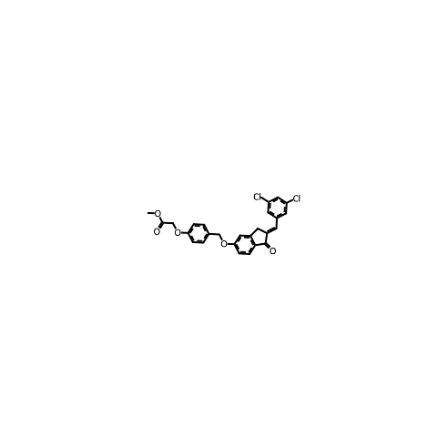 COC(=O)COc1ccc(COc2ccc3c(c2)C/C(=C\c2cc(Cl)cc(Cl)c2)C3=O)cc1